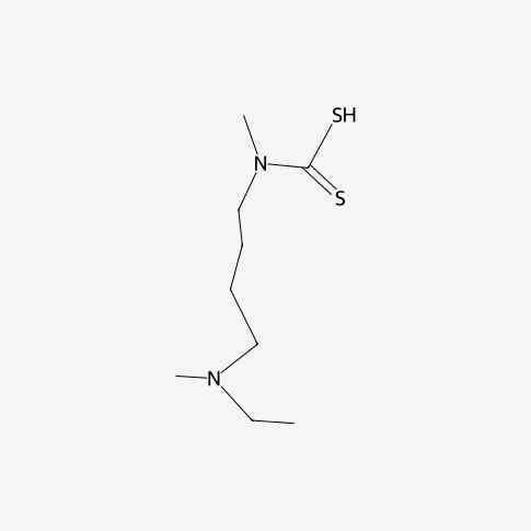 CCN(C)CCCCN(C)C(=S)S